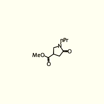 CCCN1CC(C(=O)OC)CC1=O